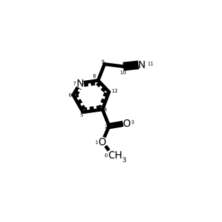 COC(=O)c1ccnc(CC#N)c1